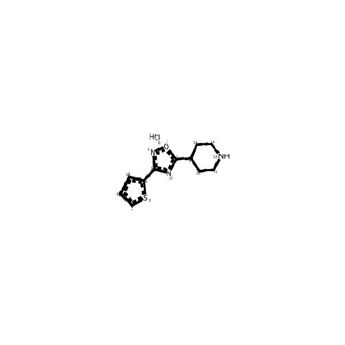 Cl.c1csc(-c2noc(C3CCNCC3)n2)c1